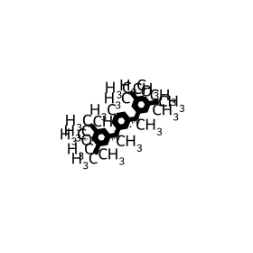 COc1c(C(C)(C)C)cc([C@H](C)c2[c]c([C@@H](C)c3cc(C(C)(C)C)c(OC)c(C(C)(C)C)c3)cc(C)c2)cc1C(C)(C)C